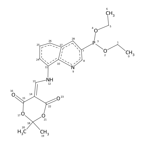 CCOP(OCC)c1cnc2c(NC=C3C(=O)OC(C)(C)OC3=O)cccc2c1